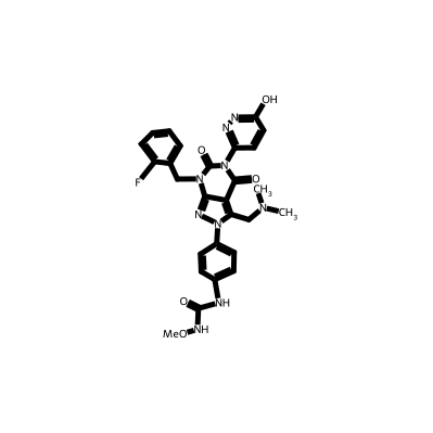 CONC(=O)Nc1ccc(-n2nc3c(c2CN(C)C)c(=O)n(-c2ccc(O)nn2)c(=O)n3Cc2ccccc2F)cc1